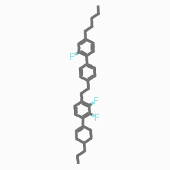 CCCCCc1ccc(-c2ccc(CCc3ccc(C4=CCC(CCC)CC4)c(F)c3F)cc2)c(F)c1